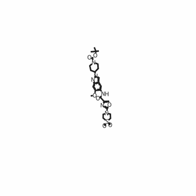 COc1cc2nn(C3CCN(C(=O)OC(C)(C)C)CC3)cc2cc1NC(=O)c1coc(N2CCS(=O)(=O)CC2)n1